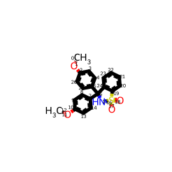 COc1ccc(C2(c3ccc(OC)cc3)NS(=O)(=O)c3ccccc32)cc1